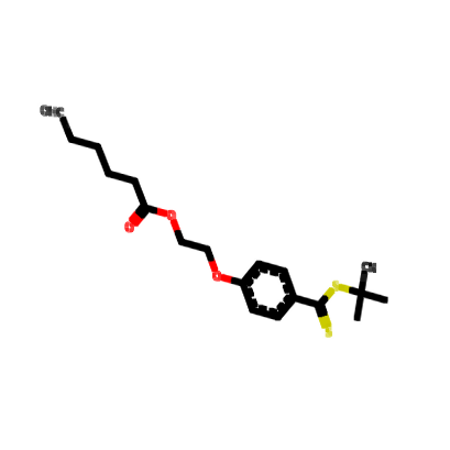 CC(C)(C#N)SC(=S)c1ccc(OCCOC(=O)CCCCC=O)cc1